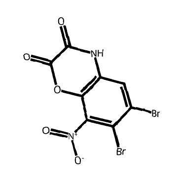 O=c1[nH]c2cc(Br)c(Br)c([N+](=O)[O-])c2oc1=O